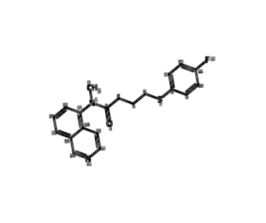 CN(C(=O)CCCSc1ccc(F)cc1)c1cccc2cnccc12